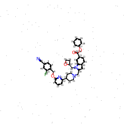 N#Cc1ccc(COc2cccc(C3CCN(Cc4cc5ccc(C(=O)Oc6ccccc6)cc5n4C[C@@H]4CCO4)CC3)n2)c(F)c1